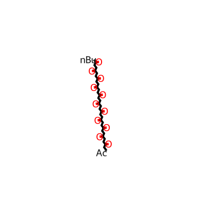 CCCCC(=O)CCC(=O)CCC(=O)CCC(=O)CCC(=O)CCC(=O)CCC(=O)CCC(=O)CCC(=O)CCC(=O)CCC(=O)CCC(C)=O